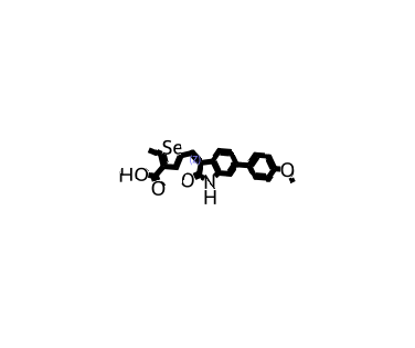 COc1ccc(-c2ccc3c(c2)NC(=O)/C3=C\c2cc(C(=O)O)c(C)[se]2)cc1